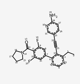 CCc1ncnc(-c2cc(F)c(C(=O)N3CCCC3)c(F)c2)c1C#Cc1ccc(N)nc1